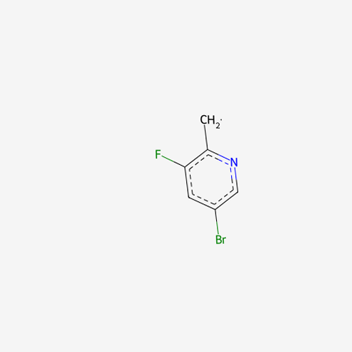 [CH2]c1ncc(Br)cc1F